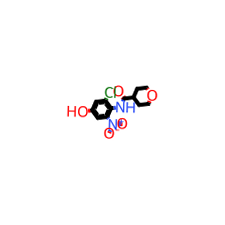 O=C(Nc1c(Cl)cc(O)cc1[N+](=O)[O-])C1CCOCC1